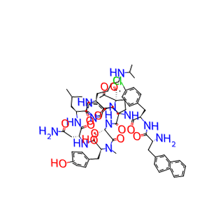 CC(=O)[C@@]1([C]=O)CCCN1C(=O)[C@H](CCCCNC(C)C)NC(=O)[C@H](CC(C)C)NC(=O)[C@@H](CC(N)=O)NC(=O)[C@H](Cc1ccc(O)cc1)N(C)C(=O)[C@H](CO)NC(=O)[C@@H](Cc1cccnc1)NC(=O)[C@@H](Cc1ccc(Cl)cc1)NC(=O)[C@H](N)Cc1ccc2ccccc2c1